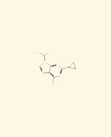 CC(C)C(C)n1cnc2c(N)nc(C3CC3)nc21